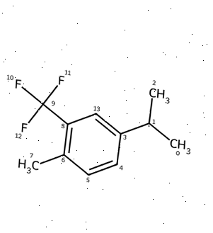 C[C](C)c1ccc(C)c(C(F)(F)F)c1